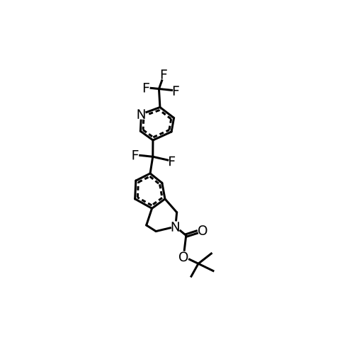 CC(C)(C)OC(=O)N1CCc2ccc(C(F)(F)c3ccc(C(F)(F)F)nc3)cc2C1